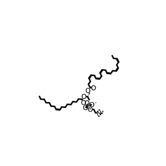 CC/C=C\C/C=C\C/C=C\C/C=C\C/C=C\C/C=C\CCC(=O)OC[C@H](COP(=O)([O-])OCC[N+](C)(C)C)OC(=O)CCCCCCC/C=C\CCCCCCC